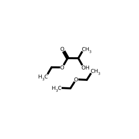 CCOC(=O)C(C)O.CCOCC